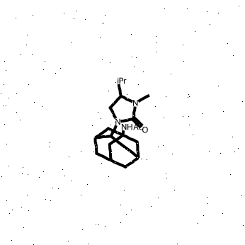 CC(=O)NC12CC3CC(C1)C(N1CC(C(C)C)N(C)C1=O)C(C3)C2